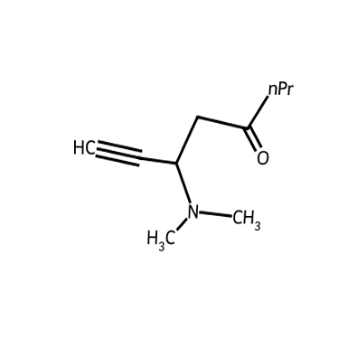 C#CC(CC(=O)CCC)N(C)C